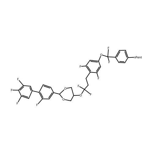 CCCCCc1ccc(C(F)(F)Oc2cc(F)c(CCC(F)(F)OC3COC(c4ccc(-c5cc(F)c(F)c(F)c5)c(F)c4)OC3)c(F)c2)cc1